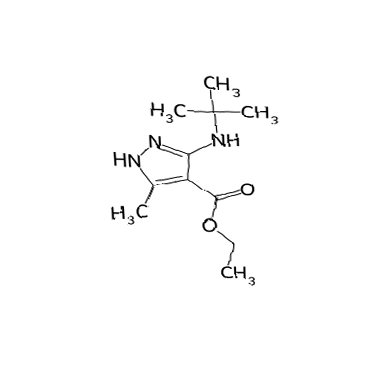 CCOC(=O)c1c(NC(C)(C)C)n[nH]c1C